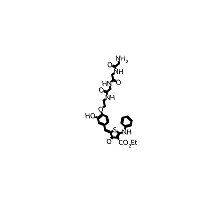 CCOC(=O)C1=C(Nc2ccccc2)S/C(=C\c2ccc(OCCNC(=O)CNC(=O)CNC(=O)CN)c(O)c2)C1=O